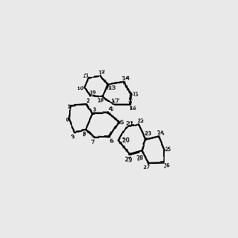 C1CCC2CCCCC2C1.C1CCC2CCCCC2C1.C1CCC2CCCCC2C1